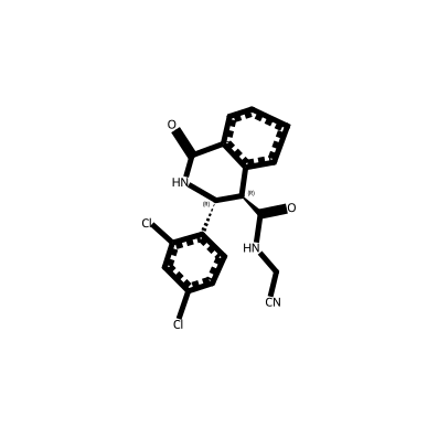 N#CCNC(=O)[C@@H]1c2ccccc2C(=O)N[C@H]1c1ccc(Cl)cc1Cl